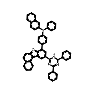 c1ccc(C2=NC(c3ccccc3)NC(c3cc(-c4ccc(N(c5ccccc5)c5ccc6ccccc6c5)cc4)c4oc5ccc6ccccc6c5c4c3)=N2)cc1